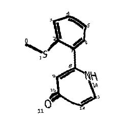 CSc1ccccc1-c1cc(=O)cc[nH]1